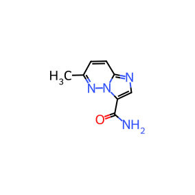 Cc1ccc2ncc(C(N)=O)n2n1